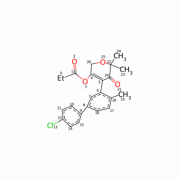 CCC(=O)OC1=C(c2cc(-c3ccc(Cl)cc3)ccc2C)C(=O)C(C)(C)OC1